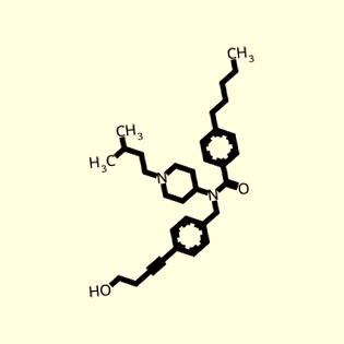 CCCCCc1ccc(C(=O)N(Cc2ccc(C#CCCO)cc2)C2CCN(CCC(C)C)CC2)cc1